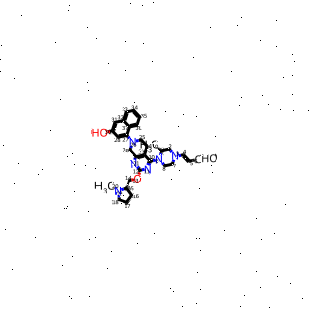 C[C@H]1CN(C=CC=O)CCN1c1nc(OC[C@H]2CCCN2C)nc2c1CCN(c1cc(O)cc3ccccc13)C2